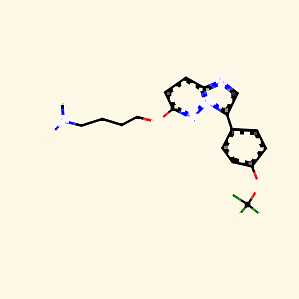 CN(C)CCCCOc1ccc2ncc(-c3ccc(OC(F)(F)F)cc3)n2n1